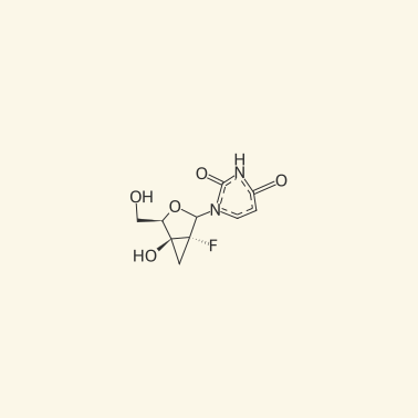 O=c1ccn(C2O[C@H](CO)[C@@]3(O)C[C@]23F)c(=O)[nH]1